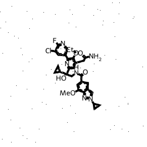 CCOc1c(CC(N)=O)cc([C@@](O)(CNC(=O)c2cc(OC)c3nn(C4CC4)cc3c2)C2CC2)nc1-c1cnc(F)c(Cl)c1